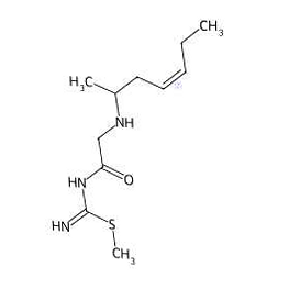 CC/C=C\CC(C)NCC(=O)NC(=N)SC